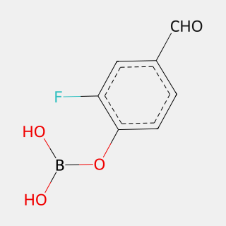 O=Cc1ccc(OB(O)O)c(F)c1